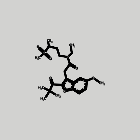 CCN(CCC(C)S(C)(=O)=O)C(=O)Cc1c(C(=O)C(C)(C)C)oc2ccc(OC)cc12